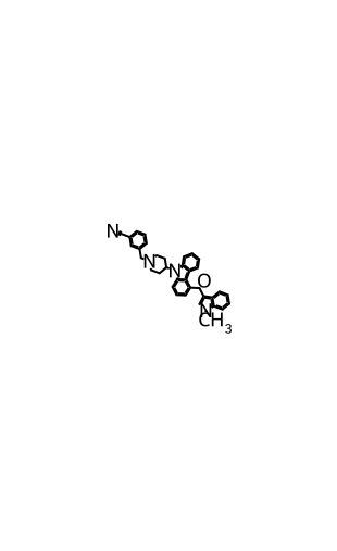 Cn1cc(C(=O)c2cccc3c2c2ccccc2n3C2CCN(Cc3cccc(C#N)c3)CC2)c2ccccc21